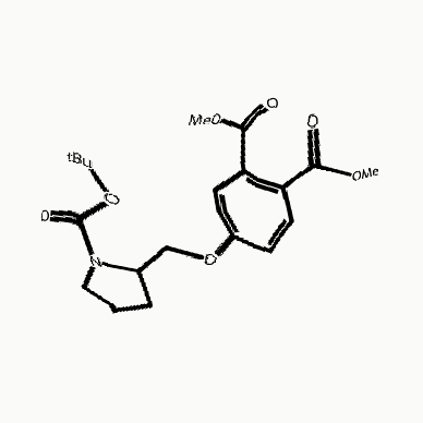 COC(=O)c1ccc(OCC2CCCN2C(=O)OC(C)(C)C)cc1C(=O)OC